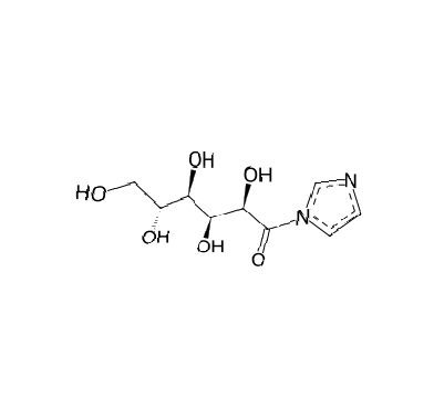 O=C([C@H](O)[C@@H](O)[C@H](O)[C@H](O)CO)n1ccnc1